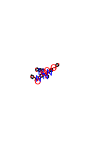 CC(Cc1ccccc1)C(=O)N1Cc2cc(C(=O)N3Cc4ccccc4C[C@H]3C)c(-c3cc(C(=O)N(C)c4ccc(OCc5ccccc5)cc4)c4n3CCCC4)cc2C1